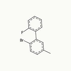 Cc1ccc(Br)c(-c2ccccc2F)c1